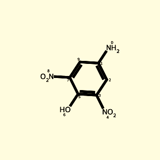 Nc1cc([N+](=O)[O-])c(O)c([N+](=O)[O-])c1